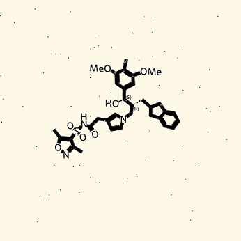 COc1cc([C@@H](O)[C@H](CC2Cc3ccccc3C2)Cn2ccc(CC(=O)NS(=O)(=O)c3c(C)noc3C)c2)cc(OC)c1C